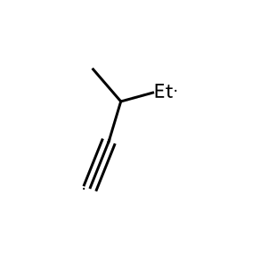 [C]#CC(C)[CH]C